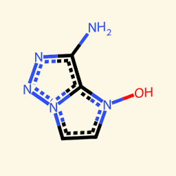 Nc1nnn2ccn(O)c12